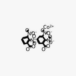 O=C([O-])c1cccc([N+](=O)[O-])c1[N+](=O)[O-].O=C([O-])c1cccc([N+](=O)[O-])c1[N+](=O)[O-].[Co+2]